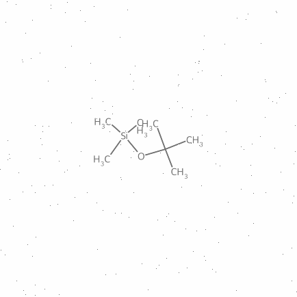 CC(C)(C)O[Si](C)(C)C